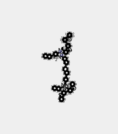 C=C(/N=C(\N=C(/N)c1ccc2ccc(C3C=Cc4cc(-c5ccc(-c6nc(-c7ccc8ccccc8c7)nc(-c7c(-c8ccc9sc%10ccccc%10c9c8)ccc8oc9ccccc9c78)n6)cc5)ccc4C3)cc2c1)c1ccc(-c2ccc3ccccc3c2)cc1)c1cccc2oc3ccc(-c4cccc5c4oc4ccccc45)cc3c12